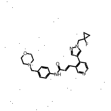 O=C(/C=C/c1cnccc1-c1cnn(CC2(F)CC2)c1)Nc1ccc(CN2CCOCC2)cc1